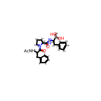 CC(=O)NC(Cc1ccccc1)C(=O)N1CCCC1C(=O)NC(Cc1ccccc1)B(O)O